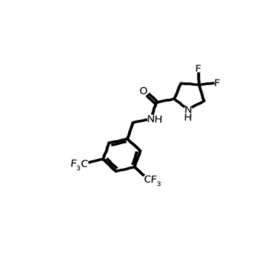 O=C(NCc1cc(C(F)(F)F)cc(C(F)(F)F)c1)C1CC(F)(F)CN1